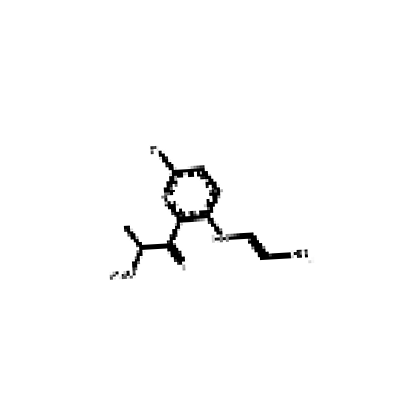 COC(C)C(=O)c1nc(Cl)ccc1NC=C[N+](=O)[O-]